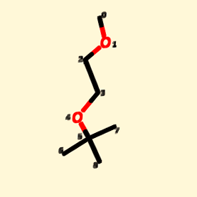 CO[CH]COC(C)(C)C